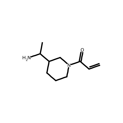 C=CC(=O)N1CCCC(C(C)N)C1